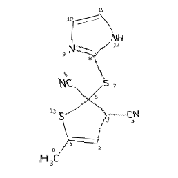 CC1=CC(C#N)C(C#N)(Sc2ncc[nH]2)S1